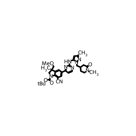 COC[C@@]1(C)CN(C(=O)OC(C)(C)C)c2c(C#N)cc(-c3ccnc(Nc4cc(C)nn4CC4CCN(C)C(=O)C4)n3)cc21